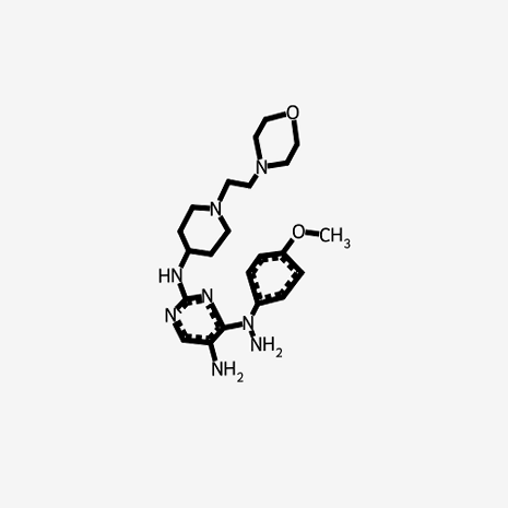 COc1ccc(N(N)c2nc(NC3CCN(CCN4CCOCC4)CC3)ncc2N)cc1